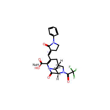 O=C(O)C1=C(/C=C2\CCN(c3ccccc3)C2=O)C[C@@H]2CN(C(=O)C(F)(F)F)[C@@H]3C(=O)N1[C@H]23.[NaH]